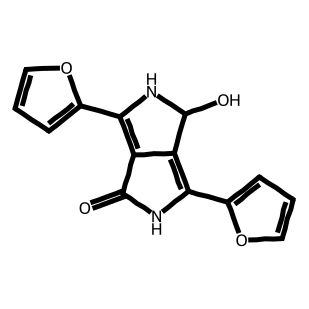 O=C1NC(c2ccco2)=C2C1=C(c1ccco1)NC2O